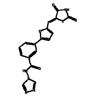 O=C1NC(=S)S/C1=C\c1ccc(-c2cccc(C(=O)Nn3cnnc3)c2)o1